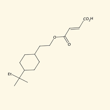 CCC(C)(C)C1CCC(CCOC(=O)/C=C/C(=O)O)CC1